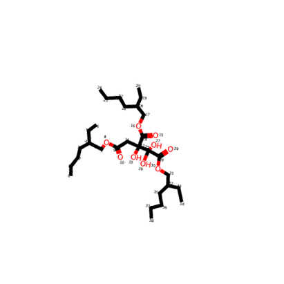 CCCCC(CC)COC(=O)CC(O)(C(=O)OCC(CC)CCCC)C(O)(O)C(=O)OCC(CC)CCCC